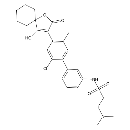 Cc1cc(-c2cccc(NS(=O)(=O)CCN(C)C)c2)c(Cl)cc1C1=C(O)C2(CCCCC2)OC1=O